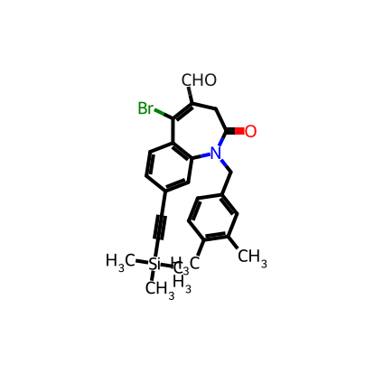 Cc1ccc(CN2C(=O)CC(C=O)=C(Br)c3ccc(C#C[Si](C)(C)C)cc32)cc1C